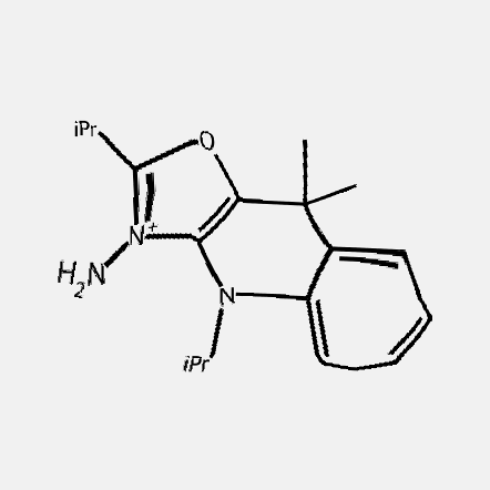 CC(C)c1oc2c([n+]1N)N(C(C)C)c1ccccc1C2(C)C